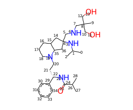 CC(C)NC1(CNCC(C)(CO)CO)CC2CCCN(CC[C@H](NC(=O)C(C)C)c3ccccc3)C2C1